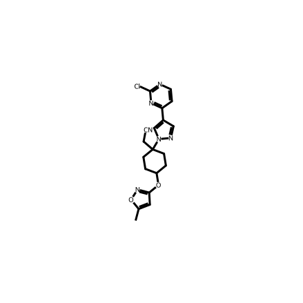 Cc1cc(OC2CCC(CC#N)(n3cc(-c4ccnc(Cl)n4)cn3)CC2)no1